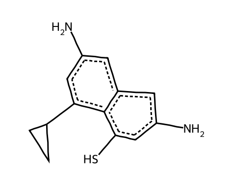 Nc1cc(S)c2c(C3CC3)cc(N)cc2c1